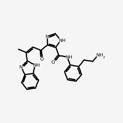 C/C(=C/C(=O)c1nc[nH]c1C(=O)Nc1ccccc1CCN)c1nc2ccccc2[nH]1